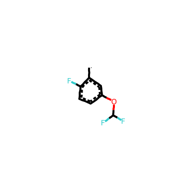 [CH2]c1cc(OC(F)F)ccc1F